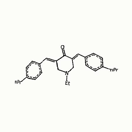 CCCc1ccc(C=C2CN(CC)CC(=Cc3ccc(CCC)cc3)C2=O)cc1